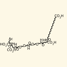 CC(=O)CC[C@H](NC(=O)CCC(NC(=O)COCCOCCNC(=O)COCCOCCNC(=O)CC[C@H](NC(=O)CCCCCCCCCCCCCCCCC(=O)O)C(=O)O)C(=O)O)C(=O)O